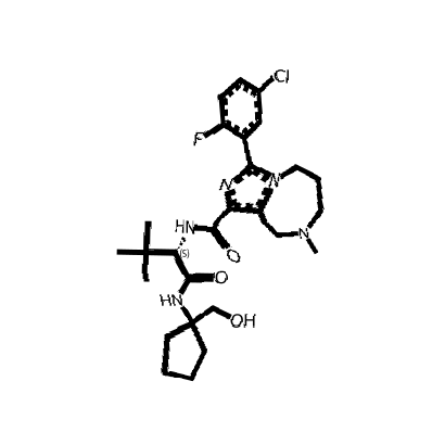 CN1CCCn2c(-c3cc(Cl)ccc3F)nc(C(=O)N[C@H](C(=O)NC3(CO)CCCC3)C(C)(C)C)c2C1